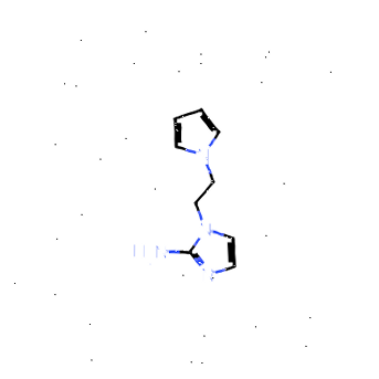 Nc1nccn1CCn1cccc1